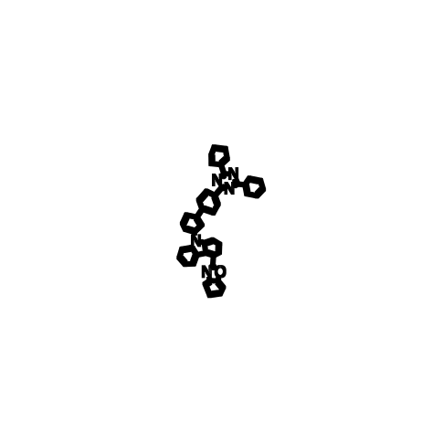 c1ccc(-c2nc(-c3ccccc3)nc(-c3ccc(-c4cccc(-n5c6ccccc6c6c(-c7nc8ccccc8o7)cccc65)c4)cc3)n2)cc1